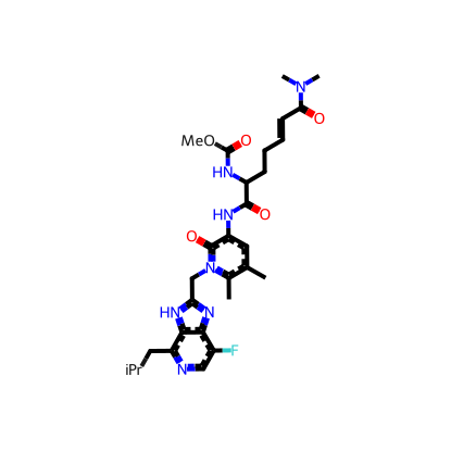 COC(=O)NC(CCC=CC(=O)N(C)C)C(=O)Nc1cc(C)c(C)n(Cc2nc3c(F)cnc(CC(C)C)c3[nH]2)c1=O